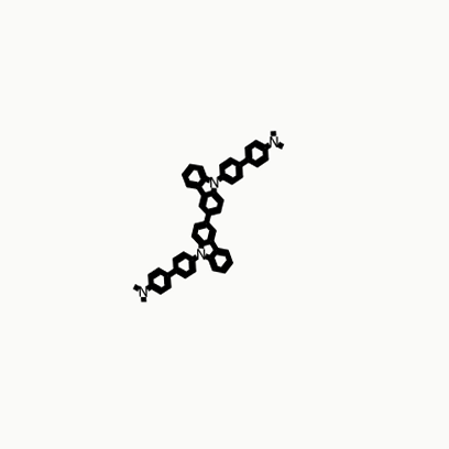 CN(C)c1ccc(-c2ccc(-n3c4ccccc4c4cc(-c5ccc6c(c5)c5ccccc5n6-c5ccc(-c6ccc(N(C)C)cc6)cc5)ccc43)cc2)cc1